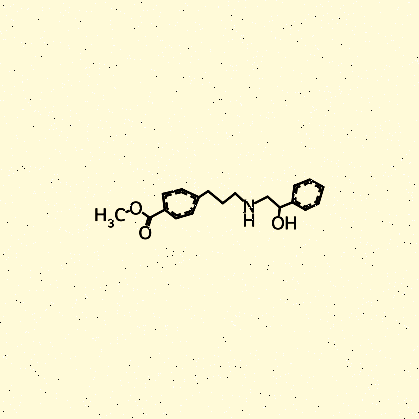 COC(=O)c1ccc(CCCNCC(O)c2ccccc2)cc1